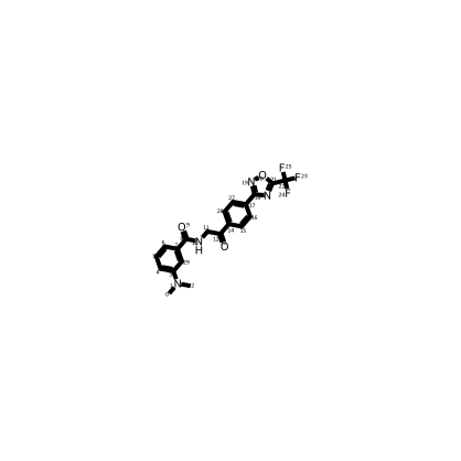 CN(C)c1cccc(C(=O)NCC(=O)c2ccc(-c3noc(C(F)(F)F)n3)cc2)c1